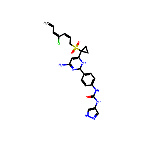 C=C/C=C(Cl)\C=C/CS(=O)(=O)C1(C2=CC(N)=NC(c3ccc(NC(=O)Nc4cn[nH]c4)cc3)N2)CC1